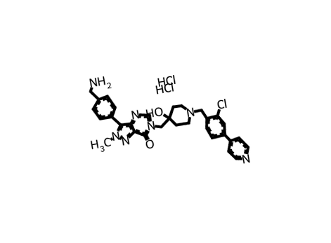 Cl.Cl.Cn1nc2c(=O)n(CC3(O)CCN(Cc4ccc(-c5ccncc5)cc4Cl)CC3)cnc2c1-c1ccc(CN)cc1